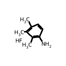 Cc1ccc(N)c(C)c1C.F